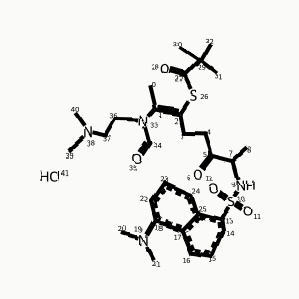 CC(=C(CCC(=O)C(C)NS(=O)(=O)c1cccc2c(N(C)C)cccc12)SC(=O)C(C)(C)C)N(C=O)CCN(C)C.Cl